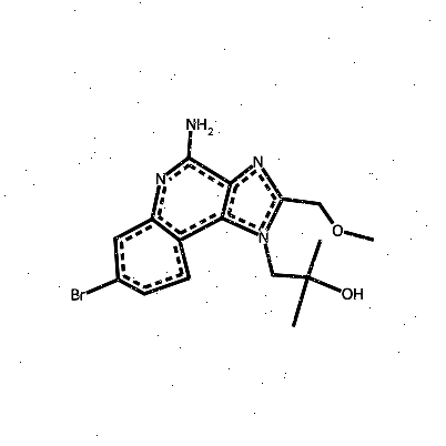 COCc1nc2c(N)nc3cc(Br)ccc3c2n1CC(C)(C)O